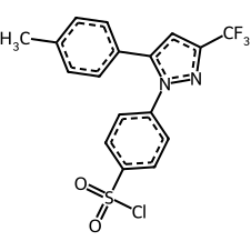 Cc1ccc(-c2cc(C(F)(F)F)nn2-c2ccc(S(=O)(=O)Cl)cc2)cc1